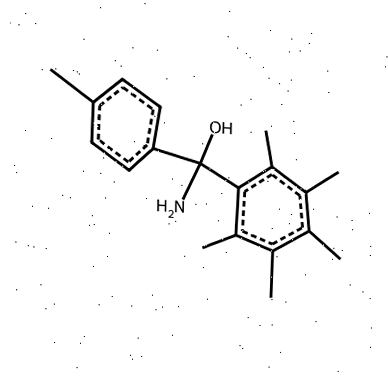 Cc1ccc(C(N)(O)c2c(C)c(C)c(C)c(C)c2C)cc1